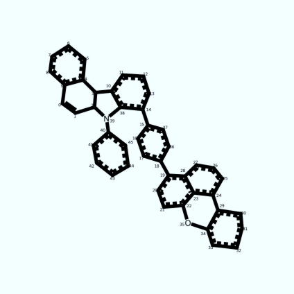 C1=CC2C(c3ccccc31)c1cccc(-c3ccc(-c4ccc5c6c(cccc46)-c4ccccc4O5)cc3)c1N2c1ccccc1